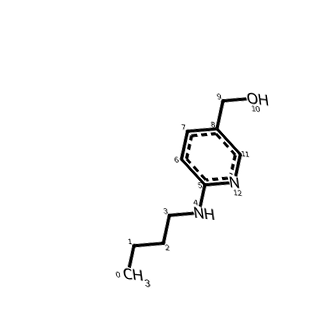 CCCCNc1ccc(CO)cn1